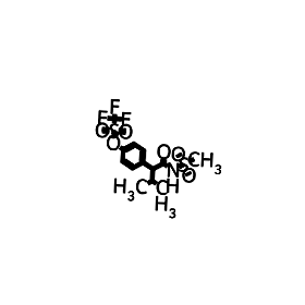 CC(C)C(C(=O)NS(C)(=O)=O)c1ccc(OS(=O)(=O)C(F)(F)F)cc1